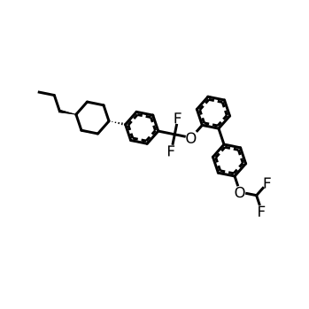 CCC[C@H]1CC[C@H](c2ccc(C(F)(F)Oc3ccccc3-c3ccc(OC(F)F)cc3)cc2)CC1